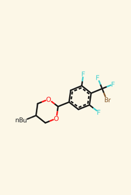 CCCCC1COC(c2cc(F)c(C(F)(F)Br)c(F)c2)OC1